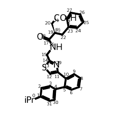 CC(C)c1ccc(-c2ccccc2-c2csc(CNC(=O)[C@@H](CC(=O)O)Cc3ccccc3)n2)cc1